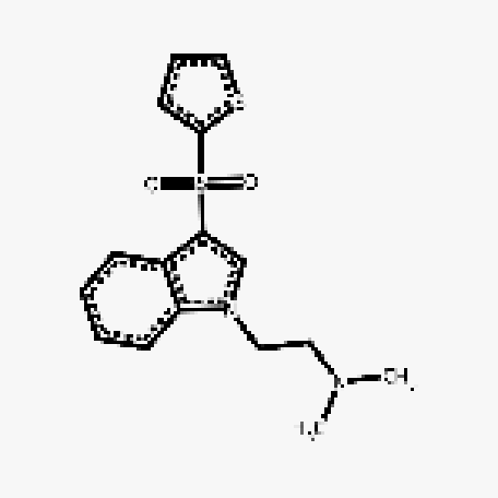 CN(C)CCn1cc(S(=O)(=O)c2cccs2)c2ccccc21